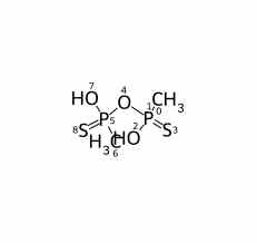 CP(O)(=S)OP(C)(O)=S